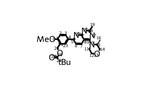 COc1ccc(-c2ccc3c(N4CCOC[C@@H]4C)nc(C)nc3n2)cc1COC(=O)C(C)(C)C